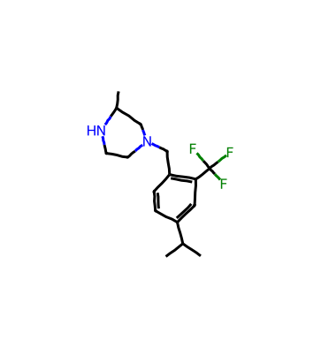 CC1CN(Cc2ccc(C(C)C)cc2C(F)(F)F)CCN1